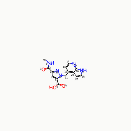 CNC(=O)c1cc(C(=O)O)n(Cc2ccnc3[nH]ccc23)n1